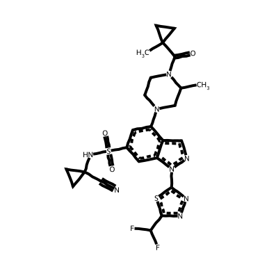 CC1CN(c2cc(S(=O)(=O)NC3(C#N)CC3)cc3c2cnn3-c2nnc(C(F)F)s2)CCN1C(=O)C1(C)CC1